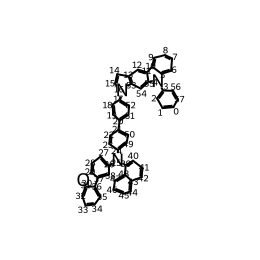 c1ccc(-n2c3ccccc3c3cc4ccn(-c5ccc(-c6ccc(N(c7ccc8oc9ccccc9c8c7)c7cccc8ccccc78)cc6)cc5)c4cc32)cc1